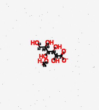 O.O=C([O-])[C@H](O)[C@@H](O)[C@H](O)[C@H](O)CO.[K+]